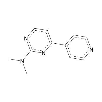 CN(C)c1nccc(-c2ccncc2)n1